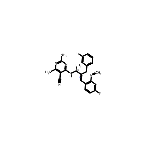 C=Nc1cc(F)ccc1/C=C(\Cc1cccc(F)c1)[C@H](C)Nc1nc(N)nc(N)c1C#N